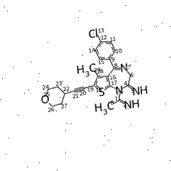 CC(=N)N1C(=N)CN=C(c2ccc(Cl)cc2)c2c1sc(C#CC1CCOCC1)c2C